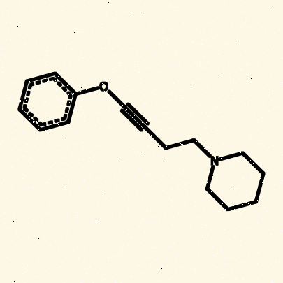 C(#COc1ccccc1)CCN1CCCCC1